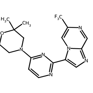 CC1(C)CN(c2ccnc(-c3cnc4cnc(C(F)(F)F)cn34)n2)CCO1